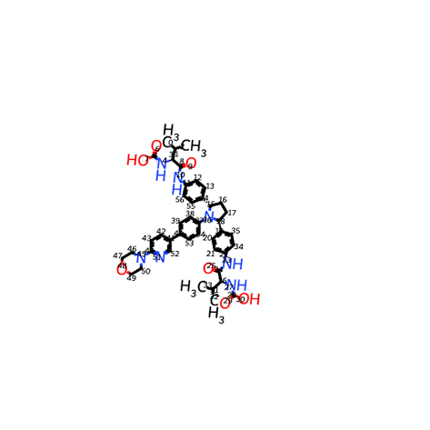 CC(C)[C@H](NC(=O)O)C(=O)Nc1ccc([C@@H]2CC[C@@H](c3ccc(NC(=O)[C@@H](NC(=O)O)C(C)C)cc3)N2c2ccc(-c3ccc(N4CCOCC4)nc3)cc2)cc1